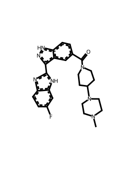 CN1CCN(C2CCN(C(=O)c3ccc4[nH]nc(-c5nc6ccc(F)cc6[nH]5)c4c3)CC2)CC1